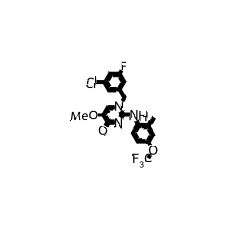 COc1cn(Cc2cc(F)cc(Cl)c2)c(Nc2ccc(OC(F)(F)F)cc2C)nc1=O